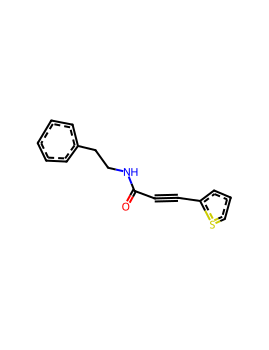 O=C(C#Cc1cccs1)NCCc1ccccc1